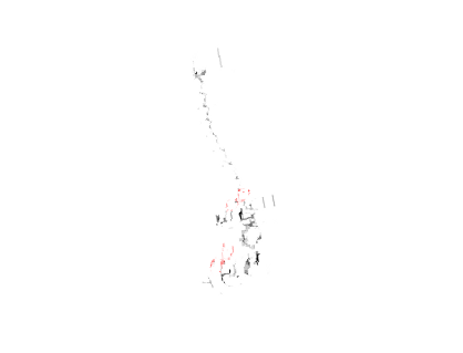 C=C(C)C(=O)OCCCC.C=C(C)C(=O)OCCCCCCCCCCCCCCCCCC.C=Cc1ccc(C)cc1